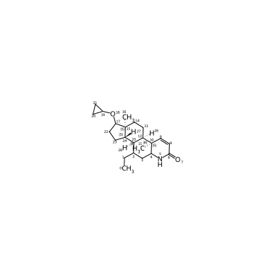 CCC1CC2NC(=O)C=C[C@]2(C)[C@@H]2CC[C@]3(C)C(OC4CC4)CC[C@H]3[C@H]12